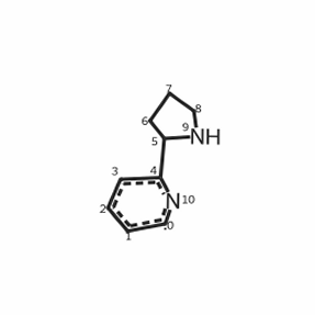 [c]1cccc(C2CCCN2)n1